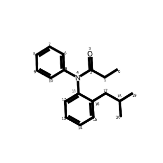 CCC(=O)N(c1ccccc1)c1ccccc1CC(C)C